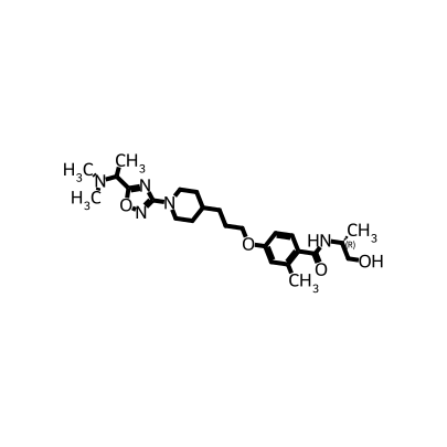 Cc1cc(OCCCC2CCN(c3noc(C(C)N(C)C)n3)CC2)ccc1C(=O)N[C@H](C)CO